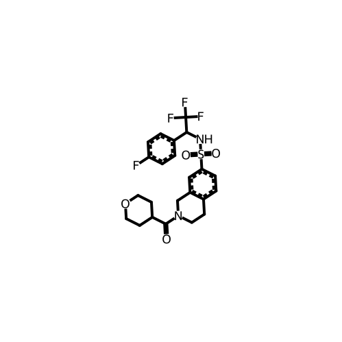 O=C(C1CCOCC1)N1CCc2ccc(S(=O)(=O)NC(c3ccc(F)cc3)C(F)(F)F)cc2C1